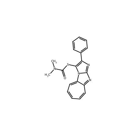 CN(C)C(=O)Sc1c(-c2ccccc2)nc2nc3cccccc3n12